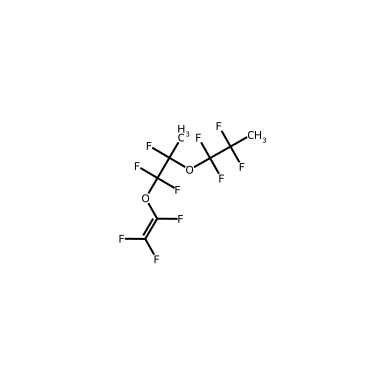 CC(F)(F)C(F)(F)OC(C)(F)C(F)(F)OC(F)=C(F)F